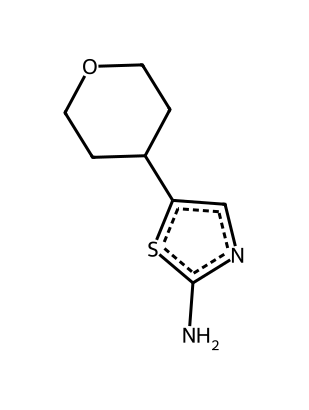 Nc1ncc(C2CCOCC2)s1